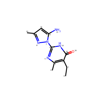 CCc1c(C)nc(-n2nc(C)cc2N)[nH]c1=O